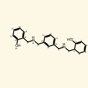 OC1=CC=CCC1CNCc1cccc(CNCc2ccccc2O)c1